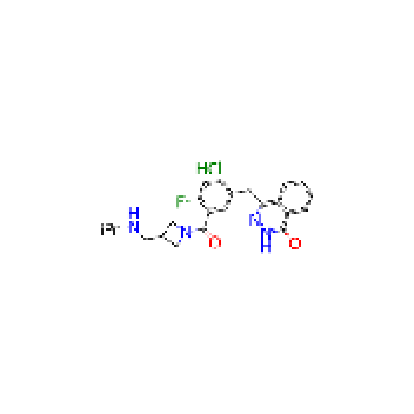 CC(C)NCC1CN(C(=O)c2cc(Cc3n[nH]c(=O)c4ccccc34)ccc2F)C1.Cl